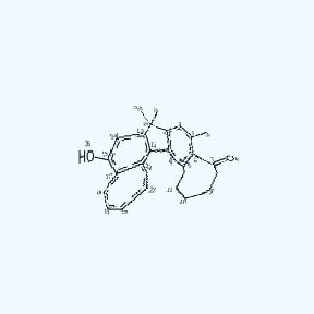 Cc1cc2c(c3c1C(=O)CCC3)-c1c(cc(O)c3ccccc13)C2(C)C